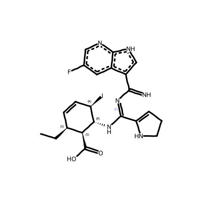 CC[C@H]1C=C[C@@H](I)[C@H](N/C(=N/C(=N)c2c[nH]c3ncc(F)cc23)C2=CCCN2)[C@H]1C(=O)O